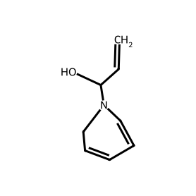 C=CC(O)N1C=CC=CC1